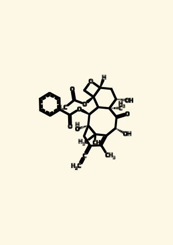 C=C=C1C[C@@]2(O)[C@@H](OC(=O)c3ccccc3)C3[C@](C)(C(=O)[C@H](O)C(=C1C)C2(C)C)[C@@H](O)C[C@H]1OC[C@@]31OC(C)=O